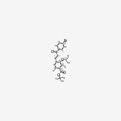 Cc1cc(/C=C/C(=O)c2ccc(Br)cc2)c(OC(C)C)c(C)c1C(=O)OC(C)(C)C